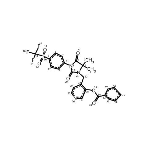 CC1(C)C(=O)N(c2ccc(S(=O)(=O)C(F)(F)F)cc2)C(=O)N1Cc1ccncc1OC(=O)c1ccccc1